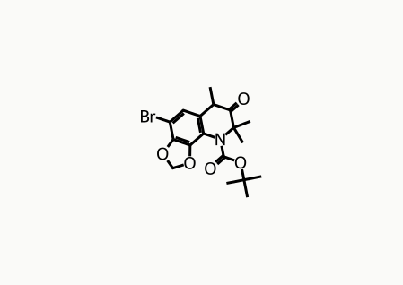 CC1C(=O)C(C)(C)N(C(=O)OC(C)(C)C)c2c1cc(Br)c1c2OCO1